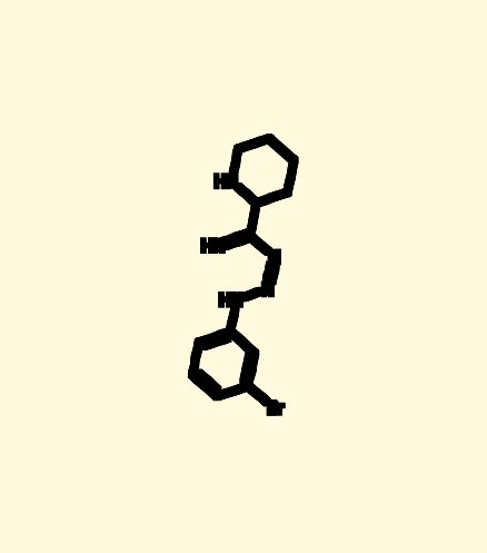 N=C(/N=N\Nc1cccc(Br)c1)C1CCCCN1